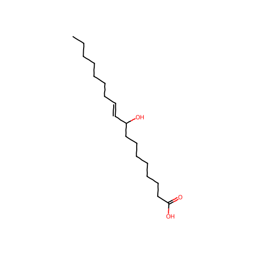 CCCCCCCC=CC(O)CCCCCCCC(=O)O